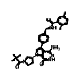 Cc1ccc(C)c(C(=O)NCc2ccc(-c3cn([C@@H]4CCN(C(=O)C(C)(C)C)C4)c4c(=O)[nH]nc(N)c34)cc2)c1